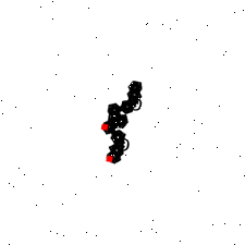 c1ccc2cc3c(cc2c1)oc1ccc(-c2cccc4c2c2cccc5c6c(-c7ccc8oc9cc%10ccccc%10cc9c8c7)cccc6n4c25)cc13